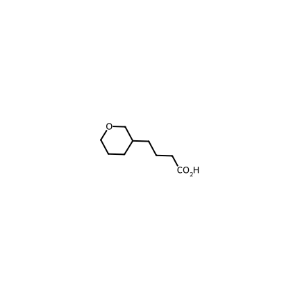 O=C(O)CCCC1CCCOC1